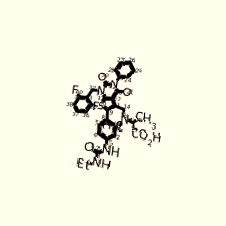 CCNC(=O)Nc1ccc(-c2sc3c(c2CN(C)[C@@H](C)C(=O)O)c(=O)n(-c2ccccc2)c(=O)n3Cc2c(F)cccc2F)cc1